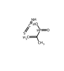 C=C(C)[PH](=O)O.N=C=S